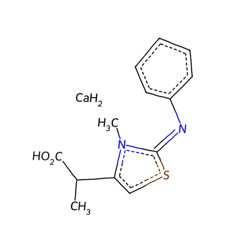 CC(C(=O)O)c1csc(=Nc2ccccc2)n1C.[CaH2]